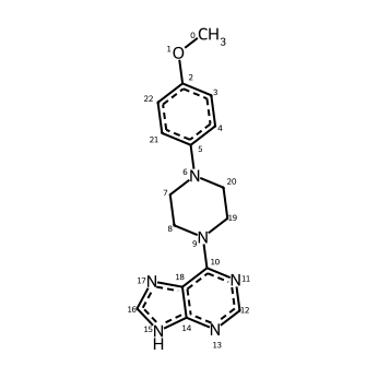 COc1ccc(N2CCN(c3ncnc4[nH]cnc34)CC2)cc1